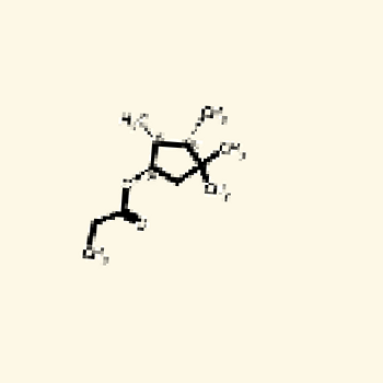 CCC(=O)O[C@@H]1CC(C)(C)[C@@H](C)[C@H]1C